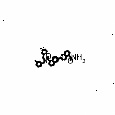 Cc1cccc(CN(Cc2cccc(C)c2)C(=O)c2cccc3cc(-c4ccc5c(C(N)=O)cccc5c4)ccc23)c1